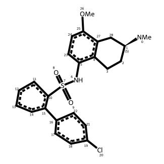 CN[C@H]1CCc2c(NS(=O)(=O)c3ccccc3-c3ccc(Cl)cc3)ccc(OC)c2C1